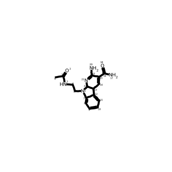 CC(=O)NCCN1c2ccccc2C2C=C(C(N)=O)C(N)=NC21